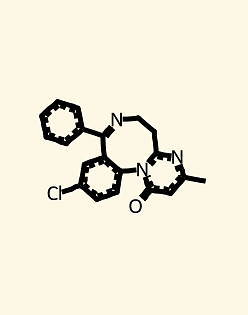 Cc1cc(=O)n2c(n1)CCN=C(c1ccccc1)c1cc(Cl)ccc1-2